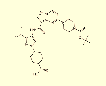 CC(C)(C)OC(=O)N1CCN(c2ccn3ncc(C(=O)Nc4cn(C5CCC(C(=O)O)CC5)nc4C(F)F)c3n2)CC1